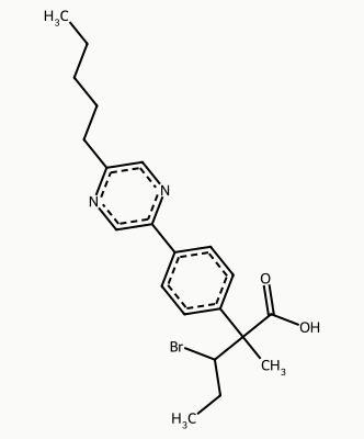 CCCCCc1cnc(-c2ccc(C(C)(C(=O)O)C(Br)CC)cc2)cn1